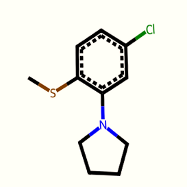 CSc1ccc(Cl)cc1N1CCCC1